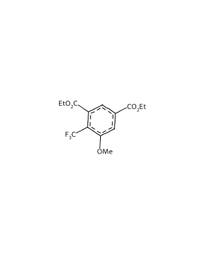 CCOC(=O)c1cc(OC)c(C(F)(F)F)c(C(=O)OCC)c1